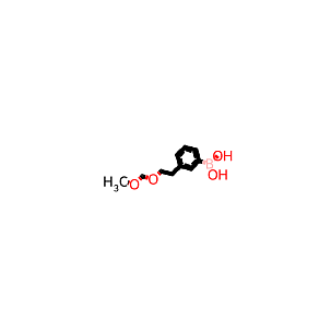 COCOCCc1cccc(B(O)O)c1